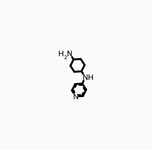 NC1CCC(Nc2ccncc2)CC1